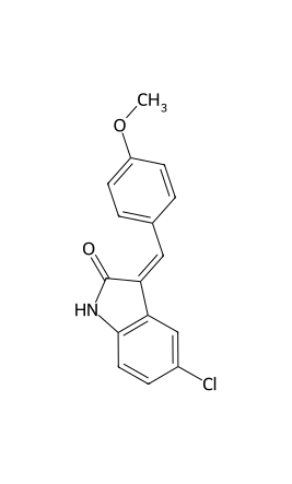 COc1ccc(C=C2C(=O)Nc3ccc(Cl)cc32)cc1